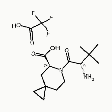 CC(C)(C)[C@H](N)C(=O)N1CCC2(CC2)C[C@H]1C(=O)O.O=C(O)C(F)(F)F